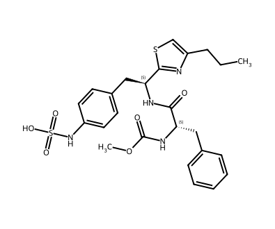 CCCc1csc([C@H](Cc2ccc(NS(=O)(=O)O)cc2)NC(=O)[C@H](Cc2ccccc2)NC(=O)OC)n1